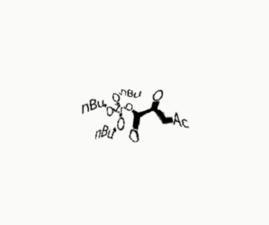 CCCC[O][Zr]([O]CCCC)([O]CCCC)[O]C(=O)C(=O)CC(C)=O